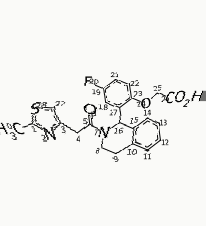 Cc1nc(CC(=O)N2CCc3ccccc3C2c2cc(F)ccc2OCC(=O)O)cs1